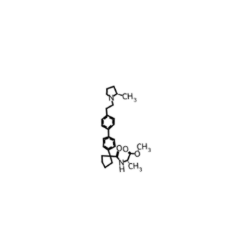 COC(=O)[C@H](C)NC(=O)C1(c2ccc(-c3ccc(CCN4CCC[C@H]4C)cc3)cc2)CCCC1